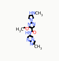 CCOc1nc(N2CCC(NC)C2)ncc1C(=O)Nc1cnc2nc(C)cn2c1